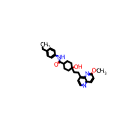 CCc1ccc(NC(=O)C2CCC(O)(CCc3ccnc4ccc(OC)nc34)CC2)cc1